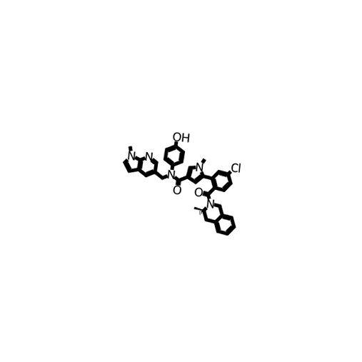 C[C@@H]1Cc2ccccc2CN1C(=O)c1ccc(Cl)cc1-c1cc(C(=O)N(Cc2cnc3c(ccn3C)c2)c2ccc(O)cc2)cn1C